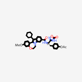 COc1ccc2c(c1)OCCn1c-2c(C2CCCCC2)c2ccc(C(=O)N[C@@H](Cc3ccc(OC(C)=O)cc3)c3noc(=O)[nH]3)cc21